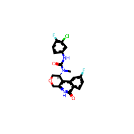 CN(C(=O)Nc1ccc(F)c(Cl)c1)[C@H]1COCc2[nH]c(=O)c3ccc(F)cc3c21